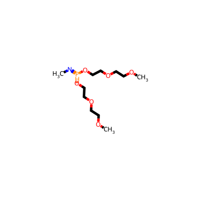 CN=[PH](OCCOCCOC)OCCOCCOC